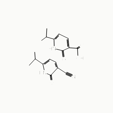 CC(C)c1ccc(C#N)c(=O)[nH]1.CC(C)c1ccc(C(=O)O)c(=O)[nH]1